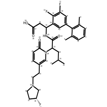 Cc1cccc(C)c1-c1cc(F)c(F)c(C(CC(=O)O)NC(=O)C(CC(C)C)n2cc(CCN3CC[C@@H](F)C3)ccc2=O)c1